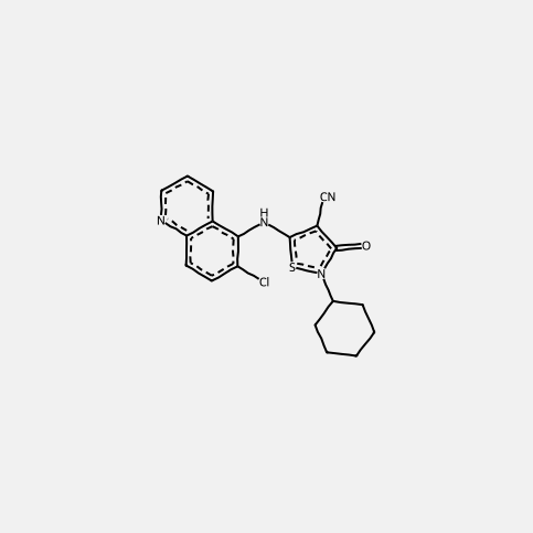 N#Cc1c(Nc2c(Cl)ccc3ncccc23)sn(C2CCCCC2)c1=O